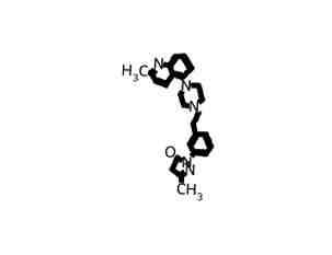 CC1=NN(c2cccc(CCN3CCN(c4cccc5nc(C)ccc45)CC3)c2)C(=O)C1